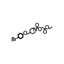 CCOC(=O)COC(=O)N1CCC(COc2ccc(Br)cc2)CC1